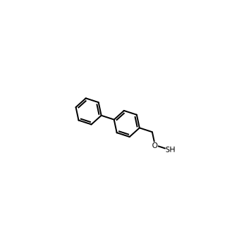 SOCc1ccc(-c2ccccc2)cc1